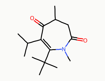 CC(C)C1=C(C(C)(C)C)N(C)C(=O)CC(C)C1=O